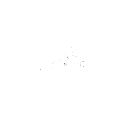 CCN(CC)CCOc1ccc(Nc2ncc(-c3ccc(F)c(Cl)c3)c(Nc3ccccc3OC)n2)cc1